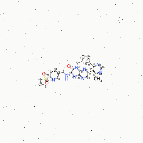 CCCn1c(=O)c(NCc2ccc(S(=O)(=O)CC)nc2)nc2ncc(-c3c(C)ncnc3C3CC3)nc21